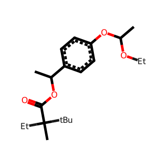 CCOC(C)Oc1ccc(C(C)OC(=O)C(C)(CC)C(C)(C)C)cc1